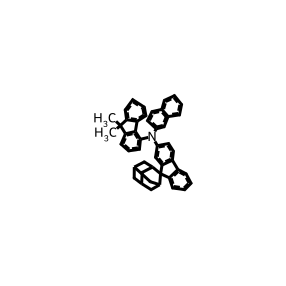 CC1(C)c2ccccc2-c2c(N(c3ccc4c(c3)C3(c5ccccc5-4)C4CC5CC(C4)CC3C5)c3ccc4ccccc4c3)cccc21